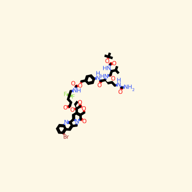 CC[C@@]1(OC(=O)CCC(F)(F)CNC(=O)OCc2ccc(NC(=O)[C@H](CCCNC(N)=O)NC(=O)[C@@H](NC(=O)OC(C)(C)C)C(C)C)cc2)C(=O)OCc2c1cc1n(c2=O)Cc2cc3c(Br)cccc3nc2-1